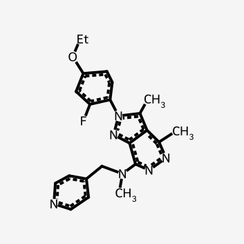 CCOc1ccc(-n2nc3c(N(C)Cc4ccncc4)nnc(C)c3c2C)c(F)c1